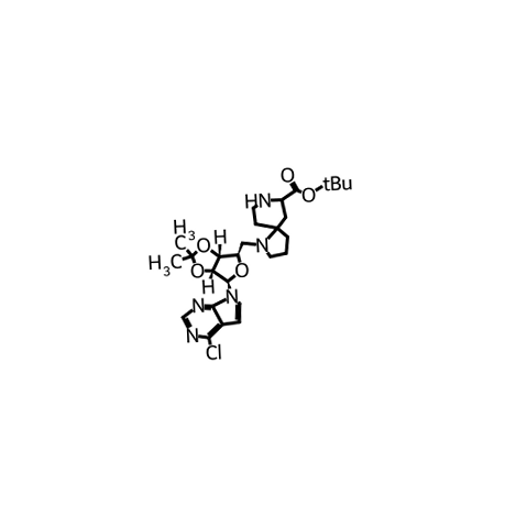 CC(C)(C)OC(=O)C1CC2(CCCN2C[C@H]2O[C@@H](n3ccc4c(Cl)ncnc43)[C@@H]3OC(C)(C)O[C@@H]32)CCN1